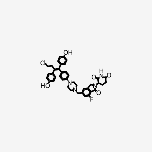 O=C1CCC(N2Cc3cc(CN4CCN(c5ccc(C(=C(CCCl)c6ccc(O)cc6)c6ccc(O)cc6)cc5)CC4)cc(F)c3C2=O)C(=O)N1